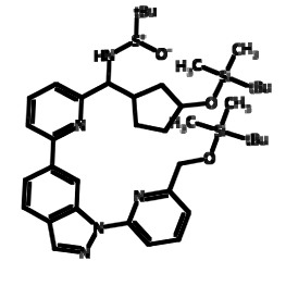 CC(C)(C)[S+]([O-])NC(c1cccc(-c2ccc3cnn(-c4cccc(CO[Si](C)(C)C(C)(C)C)n4)c3c2)n1)C1CCC(O[Si](C)(C)C(C)(C)C)C1